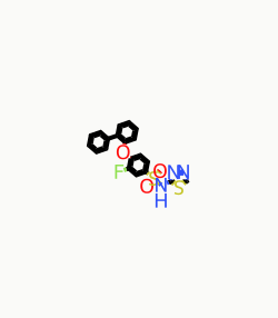 O=S(=O)(Nc1nncs1)c1ccc(Oc2ccccc2-c2ccccc2)c(F)c1